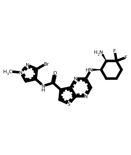 Cn1cc(NC(=O)c2csc3ncc(N[C@@H]4CCCC(F)(F)[C@@H]4N)nc23)c(Br)n1